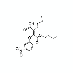 CCCCOC(=O)C(Oc1cccc([N+](=O)[O-])c1)=C(CCCC)C(=O)O